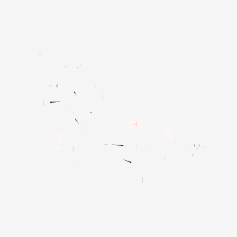 CC[C@H]1C(=O)[C@@H]2[C@H](C[C@H](O)[C@]3(C)[C@@H](C(C)CCC(=O)OC)CC[C@@H]23)[C@@]2(C)CC[C@@H](OC(C)=O)C[C@@H]12